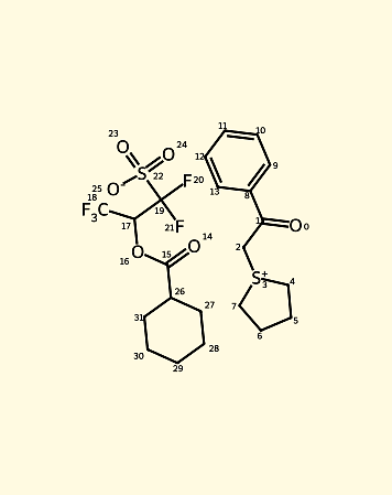 O=C(C[S+]1CCCC1)c1ccccc1.O=C(OC(C(F)(F)F)C(F)(F)S(=O)(=O)[O-])C1CCCCC1